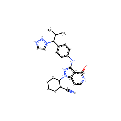 CC(C)C(c1ccc(Nc2nn(C3CCCCC3C#N)c3cc[nH]c(=O)c23)cc1)n1ccnn1